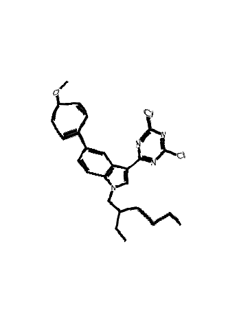 CCCCC(CC)Cn1cc(-c2nc(Cl)nc(Cl)n2)c2cc(-c3ccc(OC)cc3)ccc21